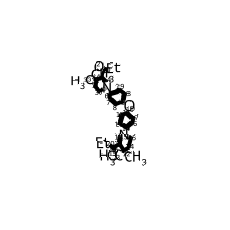 CCC(=O)C1=CN(c2ccc(Oc3ccc(N4C=C(C(=O)CC)C(C)(C)CC4)cc3)cc2)CCC1(C)C